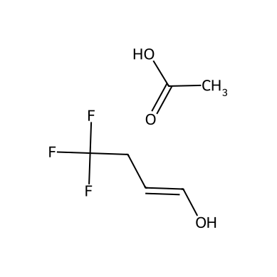 CC(=O)O.OC=CCC(F)(F)F